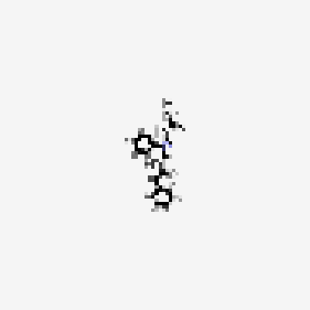 NC(=S)N/N=C(/CNC(=O)Cc1ccccc1)c1ccccc1